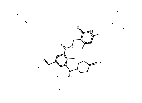 C=Cc1cc(C(=O)NCc2c(C)cc(C)[nH]c2=O)c(C)c(N(CC)C2CCC(=O)CC2)c1